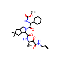 C=CCNC(=O)C(=O)C(CCC)NC(=O)C1C2CC(C)(C)CC2CN1C(=O)C(NC(=O)OC(C)(C)C)C1CCCCC1